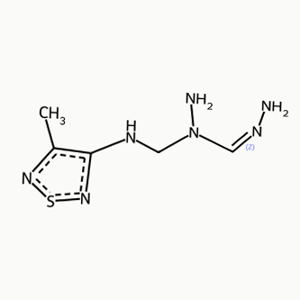 Cc1nsnc1NCN(N)/C=N\N